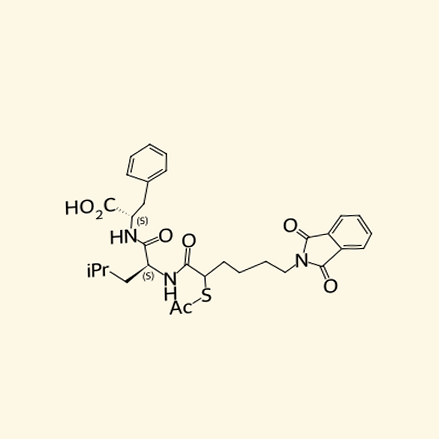 CC(=O)SC(CCCCN1C(=O)c2ccccc2C1=O)C(=O)N[C@@H](CC(C)C)C(=O)N[C@@H](Cc1ccccc1)C(=O)O